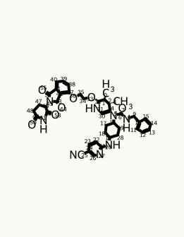 C[C@H]1[C@H](C)C(N(C(=O)NCc2ccccc2)C2CCC(Nc3ccc(C#N)cn3)CC2)=CN[C@H]1OCCOc1cccc2c1C(=O)N(C1CCC(=O)NC1=O)C2=O